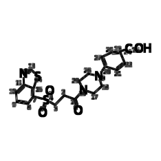 O=C(CCS(=O)(=O)c1cccc2ncsc12)N1CCN(c2ccc(CO)cc2)CC1